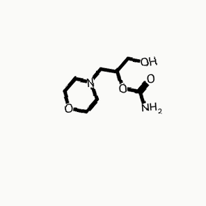 NC(=O)OC(CO)CN1CCOCC1